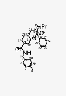 Cc1ccc(CNC(=O)C2CCC(CN(CC(C)C)S(=O)(=O)c3ccccc3)CC2)cc1